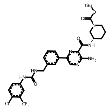 CC(C)(C)OC(=O)N1CCC[C@H](NC(=O)c2nc(-c3cccc(CNC(=O)Nc4ccc(Cl)c(C(F)(F)F)c4)c3)cnc2N)C1